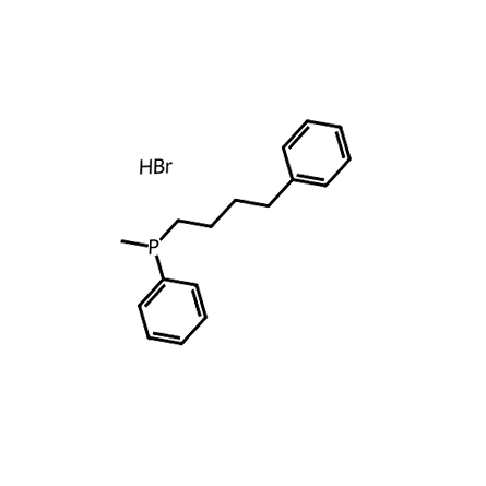 Br.CP(CCCCc1ccccc1)c1ccccc1